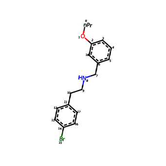 CCCOc1cccc(CNCCc2ccc(Br)cc2)c1